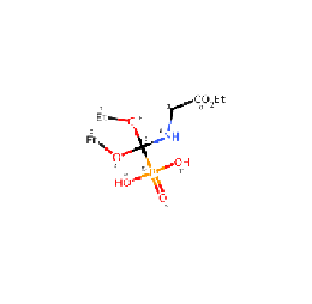 CCOC(=O)CNC(OCC)(OCC)P(=O)(O)O